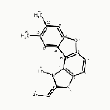 CCN1C(=CC(C)=O)Sc2ccc3oc4cc(C)c(C)cc4c3c21